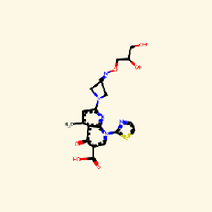 Cc1cc(N2CC(=NOCC(O)CO)C2)nc2c1c(=O)c(C(=O)O)cn2-c1nccs1